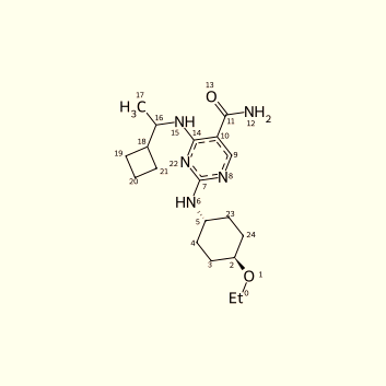 CCO[C@H]1CC[C@H](Nc2ncc(C(N)=O)c(NC(C)C3CCC3)n2)CC1